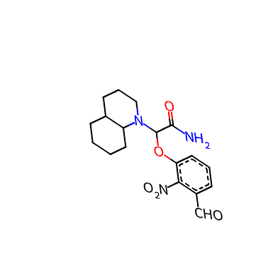 NC(=O)C(Oc1cccc(C=O)c1[N+](=O)[O-])N1CCCC2CCCCC21